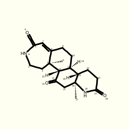 C[C@]12CCNC(=O)C=C1CC[C@@H]1[C@@H]2C(=O)C[C@]2(C)NC(=O)CC[C@@H]12